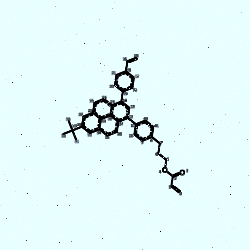 C=CC(=O)OCCCc1ccc(-c2cc(-c3ccc(C=C)cc3)c3ccc4cc(C(C)(C)C)cc5ccc2c3c45)cc1